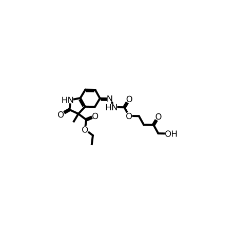 CCOC(=O)C1(C)C(=O)NC2=C1CC(=NNC(=O)OCCC(=O)CO)C=C2